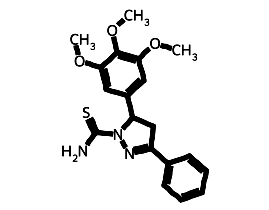 COc1cc(C2CC(c3ccccc3)=NN2C(N)=S)cc(OC)c1OC